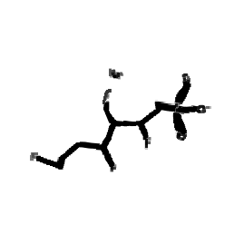 O=S(=O)([O-])CC(F)C(F)C(F)CCF.[Na+]